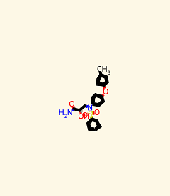 Cc1ccc(Oc2ccc(N(C[C@H](O)C(N)=O)S(=O)(=O)c3ccccc3)cc2)cc1